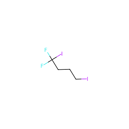 FC(F)(I)CCCI